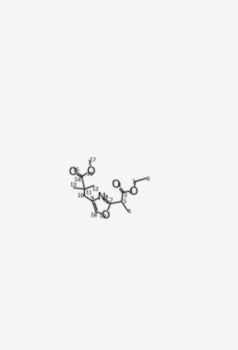 CCOC(=O)C(C)c1nc(CC(C)(C)C(=O)OC)co1